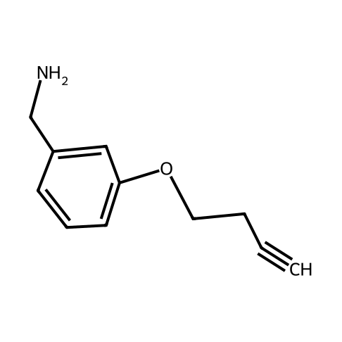 C#CCCOc1cccc(CN)c1